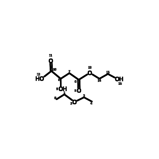 CCOCC.O=C(CC(O)C(=O)O)OCCO